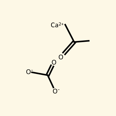 CC(C)=O.O=C([O-])[O-].[Ca+2]